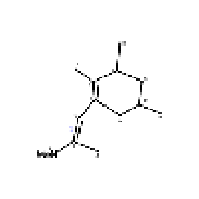 CN/C(C)=C/C1=C(C)C(C)CC(C)C1